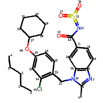 CCCCC.Cc1nc2ccc(C(=O)N=S(=O)=O)cc2n1Cc1ccc(OC2CCCCC2)cc1Cl